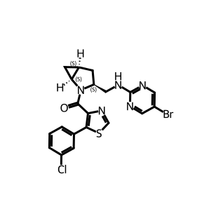 O=C(c1ncsc1-c1cccc(Cl)c1)N1[C@H](CNc2ncc(Br)cn2)C[C@@H]2C[C@@H]21